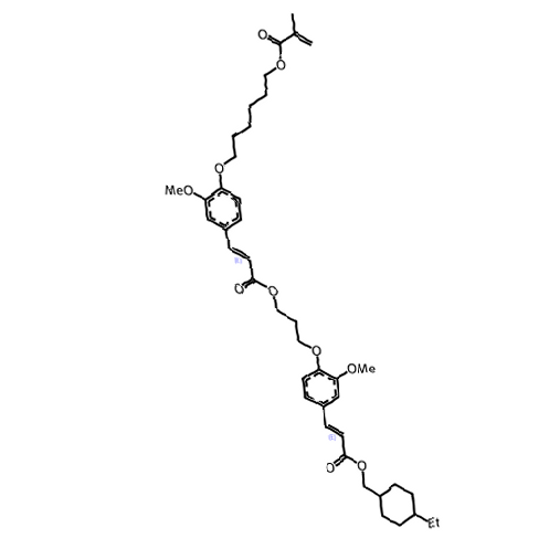 C=C(C)C(=O)OCCCCCCOc1ccc(/C=C/C(=O)OCCCOc2ccc(/C=C/C(=O)OCC3CCC(CC)CC3)cc2OC)cc1OC